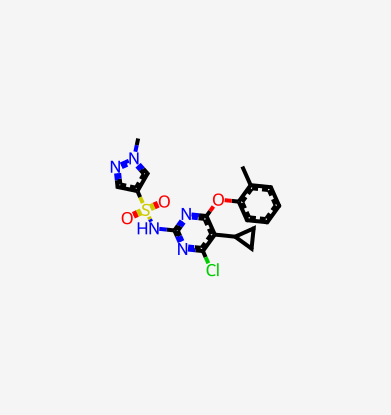 Cc1ccccc1Oc1nc(NS(=O)(=O)c2cnn(C)c2)nc(Cl)c1C1CC1